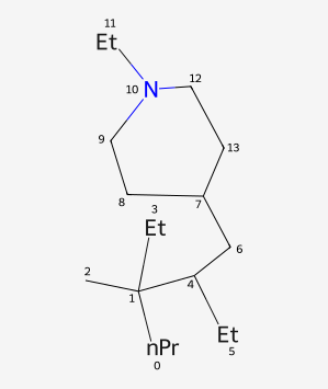 CCCC(C)(CC)C(CC)CC1CCN(CC)CC1